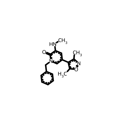 CNc1cc(-c2c(C)noc2C)cn(Cc2ccccc2)c1=O